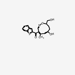 CC1=C(C(=O)c2cc3ccccc3s2)/C=N\OC(CO)CC/C(O)=C\1